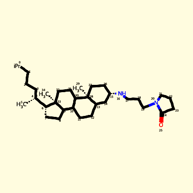 CC(C)CCC[C@@H](C)[C@H]1CCC2C3CCC4C[C@@H](NCCCN5CCCC5=O)CC[C@]4(C)C3CC[C@@]21C